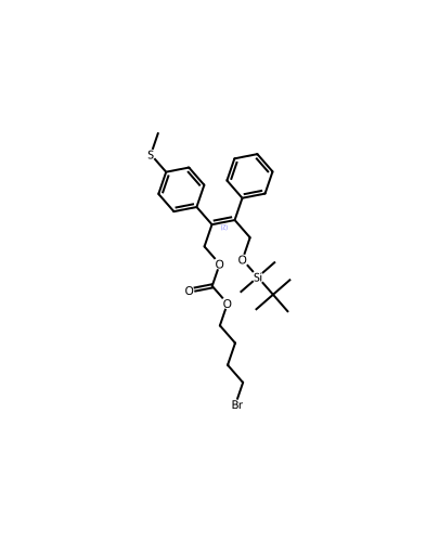 CSc1ccc(/C(COC(=O)OCCCCBr)=C(/CO[Si](C)(C)C(C)(C)C)c2ccccc2)cc1